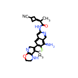 CC(C(=O)Nc1cc2cc(-c3cnc4c(c3C)NCCO4)c(F)c(N)c2cn1)=C1CC(C#N)C1